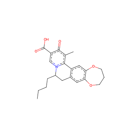 CCCCC1Cc2cc3c(cc2-c2c(C)c(=O)c(C(=O)O)cn21)OCCCO3